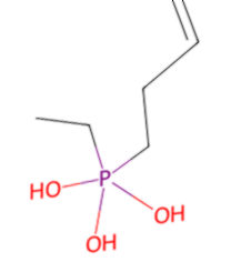 C=CCCP(O)(O)(O)CC